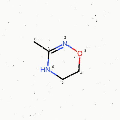 CC1=NOCCN1